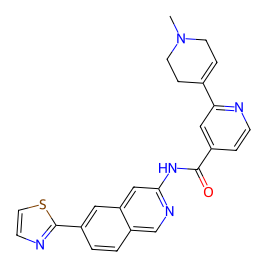 CN1CC=C(c2cc(C(=O)Nc3cc4cc(-c5nccs5)ccc4cn3)ccn2)CC1